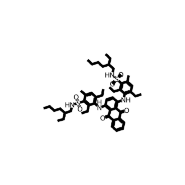 CCCCC(CC)CNS(=O)(=O)c1c(C)cc(CC)c(Nc2ccc(Nc3c(CC)cc(C)c(S(=O)(=O)NCC(CC)CCCC)c3CC)c3c2C(=O)c2ccccc2C3=O)c1CC